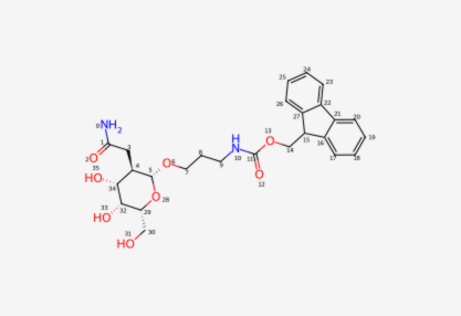 NC(=O)C[C@H]1[C@H](OCCCNC(=O)OCC2c3ccccc3-c3ccccc32)O[C@H](CO)[C@H](O)[C@@H]1O